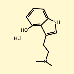 CN(C)CCc1c[nH]c2cccc(O)c12.Cl